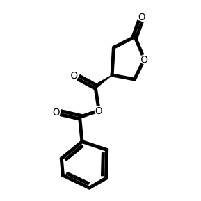 O=C1C[C@H](C(=O)OC(=O)c2ccccc2)CO1